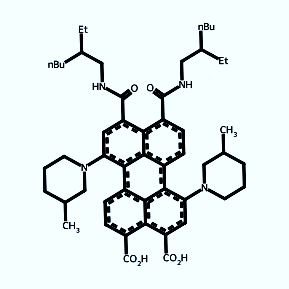 CCCCC(CC)CNC(=O)c1ccc2c3c(N4CCCC(C)C4)cc(C(=O)O)c4c(C(=O)O)ccc(c5c(N6CCCC(C)C6)cc(C(=O)NCC(CC)CCCC)c1c25)c43